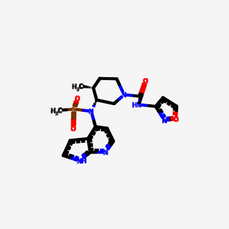 C[C@@H]1CCN(C(=O)Nc2ccon2)C[C@@H]1N(c1ccnc2[nH]ccc12)S(C)(=O)=O